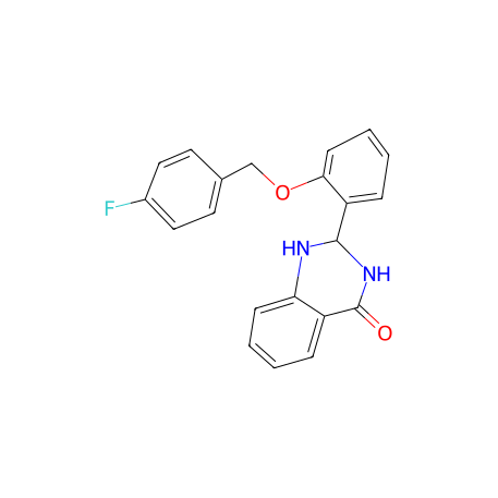 O=C1NC(c2ccccc2OCc2ccc(F)cc2)Nc2ccccc21